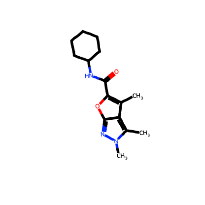 Cc1c(C(=O)NC2CCCCC2)oc2nn(C)c(C)c12